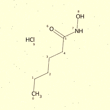 CCCCCC(=O)NO.Cl